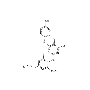 CCn1nc(Nc2c(C)cc(CCC#N)cc2C=O)nc(Nc2ccc(C#N)cc2)c1=O